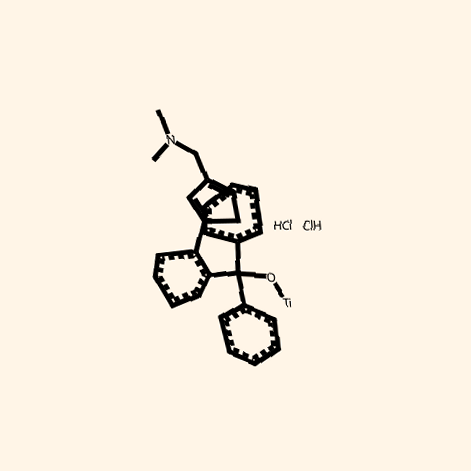 CN(C)CC1=CCC(c2ccccc2C([O][Ti])(c2ccccc2)c2ccccc2)=C1.Cl.Cl